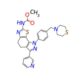 COC(=O)Nc1nc2c(s1)-c1c(c(-c3cccnc3)nn1-c1ccc(CN3CCSCC3)cc1)CC2